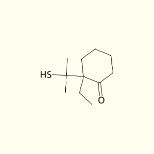 CCC1(C(C)(C)S)CCCCC1=O